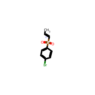 C/C=C/S(=O)(=O)c1ccc(Br)cc1